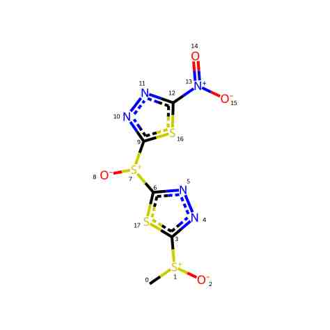 C[S+]([O-])c1nnc([S+]([O-])c2nnc([N+](=O)[O-])s2)s1